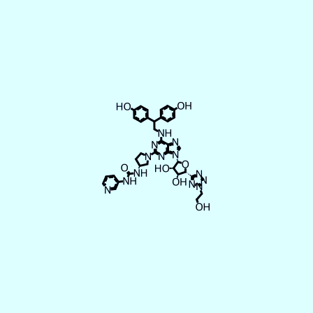 O=C(Nc1cccnc1)N[C@@H]1CCN(c2nc(NCC(c3ccc(O)cc3)c3ccc(O)cc3)c3ncn([C@@H]4O[C@H](c5nnn(CCO)n5)[C@@H](O)[C@H]4O)c3n2)C1